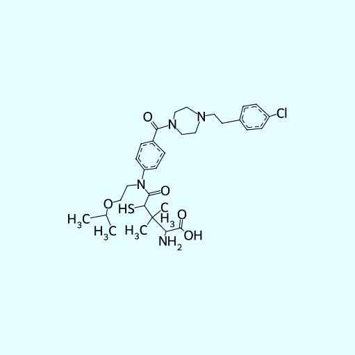 CC(C)OCCN(C(=O)C(S)C(C)(C)C(N)C(=O)O)c1ccc(C(=O)N2CCN(CCc3ccc(Cl)cc3)CC2)cc1